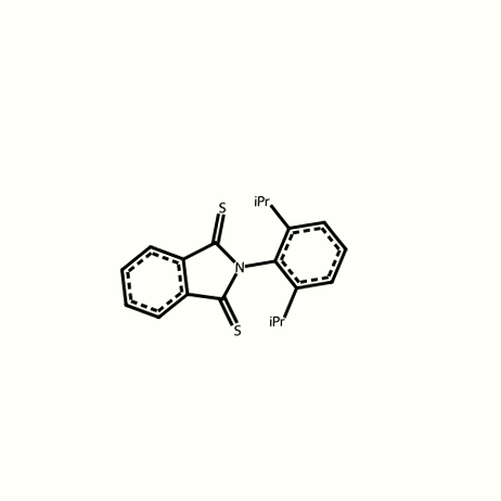 CC(C)c1cccc(C(C)C)c1N1C(=S)c2ccccc2C1=S